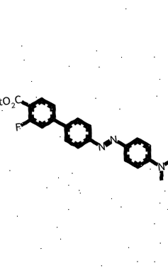 CCOC(=O)c1ccc(-c2ccc(/N=N/c3ccc(N(C)C)cc3)cc2)cc1F